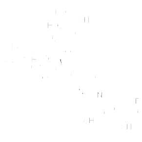 CC(=O)OC(C[18F])Cn1c(=O)c(C)cn(C2C[C@H](OC(=O)OC(C)(C)C)[C@@H](COC(=O)OC(C)(C)C)O2)c1=O